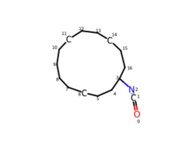 O=C=NC1CCCCCCCCCCCCC1